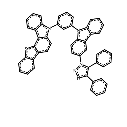 c1ccc(-c2nnn(-c3ccc4c(c3)c3ccccc3n4-c3cccc(-n4c5ccccc5c5c6sc7ccccc7c6ccc54)c3)c2-c2ccccc2)cc1